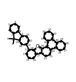 CC1(C)c2ccccc2-c2ccc(-c3cccc4c3oc3c4ccc4c5ccccc5c5ccccc5c43)cc21